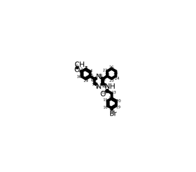 COc1ccc(-c2cnc(NC(=O)Cc3ccc(Br)cc3)c(C3CCCCC3)n2)cc1